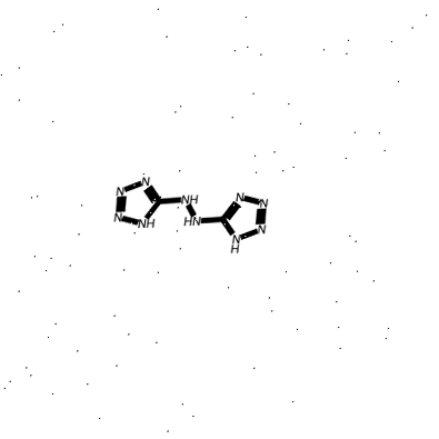 n1n[nH]c(NNc2nnn[nH]2)n1